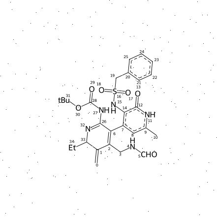 C=C1C(CNC=O)=C(c2cc(C)[nH]c(=O)c2NS(=O)(=O)Cc2ccccc2)C(NC(=O)OC(C)(C)C)=NC1CC